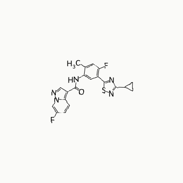 Cc1cc(F)c(-c2nc(C3CC3)ns2)cc1NC(=O)c1cnn2cc(F)ccc12